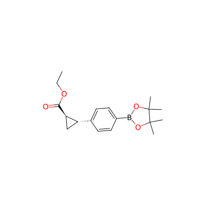 CCOC(=O)[C@@H]1C[C@H]1c1ccc(B2OC(C)(C)C(C)(C)O2)cc1